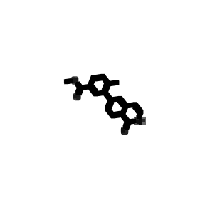 COC(=O)c1ccc(C)c(-c2ccc3c(=O)[nH]ccc3c2)c1